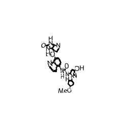 COc1ccc(-n2nc(O)cc2NC(=O)Nc2ccc(Oc3ccnc4[nH]c(=O)[nH]c34)c3ncccc23)cc1